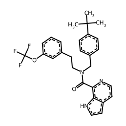 CC(C)(C)c1ccc(CN(CCc2cccc(OC(F)(F)F)c2)C(=O)c2nccc3cc[nH]c23)cc1